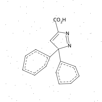 O=C(O)C1=CC(c2ccccc2)(c2ccccc2)N=N1